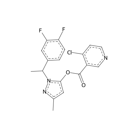 Cc1cc(OC(=O)c2cnccc2Cl)n(C(C)c2ccc(F)c(F)c2)n1